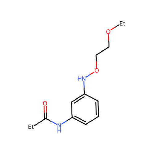 CCOCCONc1cccc(NC(=O)CC)c1